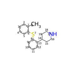 Cc1ccccc1Sc1ccccc1C1CCNCC1